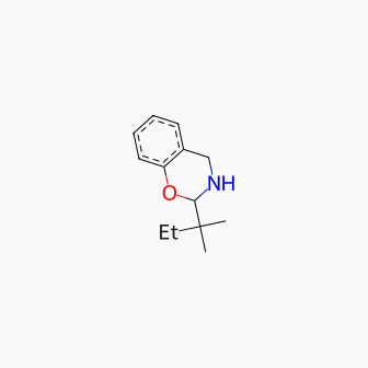 CCC(C)(C)C1NCc2ccccc2O1